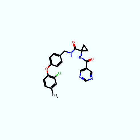 Bc1ccc(Oc2ccc(CNC(=O)C3(NC(=O)c4cncnc4)CC3)cc2)c(Cl)c1